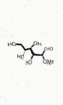 CO[C@H](C=O)[C@@H](O)[C@H](O)[C@H](O)CO